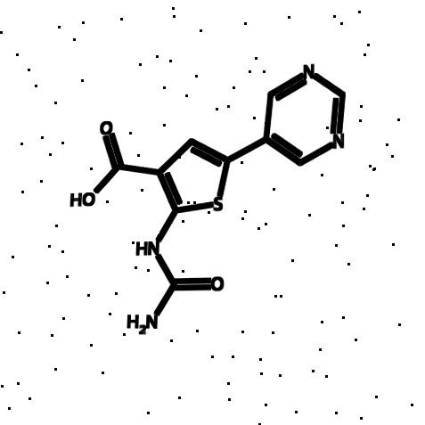 NC(=O)Nc1sc(-c2cncnc2)cc1C(=O)O